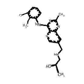 Cc1nc(Nc2cccc(Cl)c2C)c2ncc(CNCC(C)O)cc2n1